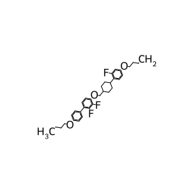 C=CCCOc1ccc(C2CCC(COc3ccc(-c4ccc(OCCCC)cc4)c(F)c3F)CC2)c(F)c1